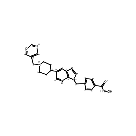 O=C(NO)c1ccc(Cn2ccc3cc(C4CCN(Cc5cncnc5)CC4)cnc32)cc1